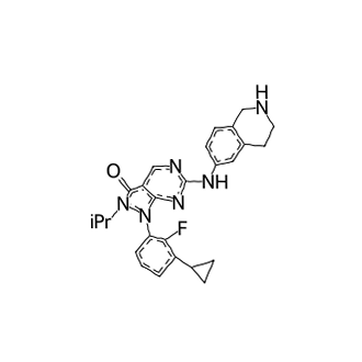 CC(C)n1c(=O)c2cnc(Nc3ccc4c(c3)CCNC4)nc2n1-c1cccc(C2CC2)c1F